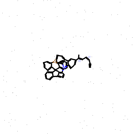 C#C/C=C\C=C(/C)c1ccc2c(c1)c1ccccc1n2-c1cccc2c1C1(c3ccccc3Sc3ccccc31)c1ccccc1-2